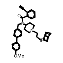 C#Cc1ccccc1C(=O)N(Cc1ccc(-c2ccc(OC)cc2)cc1)C1CCN(CCC(C)C)CC1.c1cc2ccc1-2